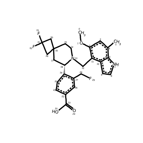 COc1cc(C)c2[nH]ccc2c1CN1CCC2(C[C@H]1c1ccc(C(=O)O)cc1CF)CC(F)(F)C2